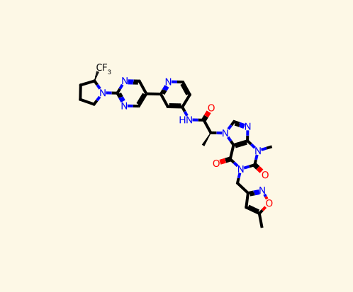 Cc1cc(Cn2c(=O)c3c(ncn3[C@@H](C)C(=O)Nc3ccnc(-c4cnc(N5CCC[C@H]5C(F)(F)F)nc4)c3)n(C)c2=O)no1